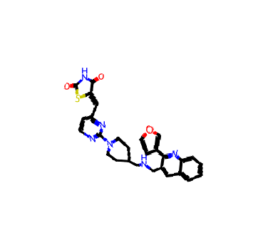 O=C1NC(=O)/C(=C/c2ccnc(N3CCC(CNCc4cc5ccccc5nc4-c4ccoc4)CC3)n2)S1